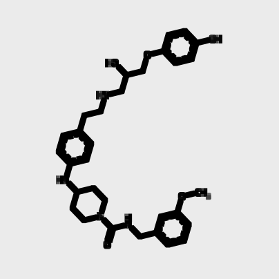 COc1cccc(CNC(=O)N2CCC(Nc3ccc(CCNCC(O)COc4ccc(O)cc4)cc3)CC2)c1